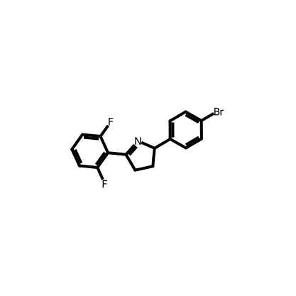 Fc1cccc(F)c1C1=NC(c2ccc(Br)cc2)CC1